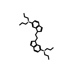 CCCN(CCC)c1ccc2c(c1)C(CCC1C=Cc3ccc(N(CCC)CCC)cc31)C=C2